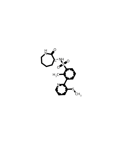 CSc1cccnc1-c1cccc(S(=O)(=O)N[C@@H]2CCCCNC2=O)c1C